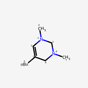 CCCCC1=CN(C)CN(C)C1